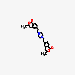 CC1Cc2cc(CCN3CCN(CCc4ccc5c(c4)CC(C)OC5=O)CC3)ccc2C(=O)O1